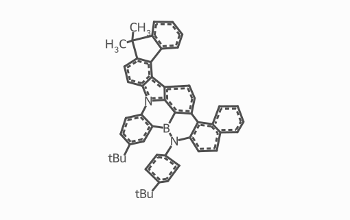 CC(C)(C)c1ccc(N2B3c4cc(C(C)(C)C)ccc4-n4c5ccc6c(c5c5ccc(c3c54)-c3c2ccc2ccccc32)-c2ccccc2C6(C)C)cc1